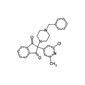 Cc1cc(C2(N3CCN(Cc4ccccc4)CC3)C(=O)c3ccccc3C2=O)cc(Cl)n1